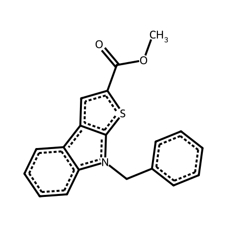 COC(=O)c1cc2c3ccccc3n(Cc3ccccc3)c2s1